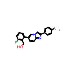 OCc1c(F)cccc1-c1ccc2nc(-c3ccc(C(F)(F)F)cc3)cn2c1